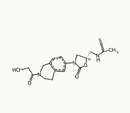 CC(=S)NC[C@H]1CN(c2ccc3c(c2)CCN(C(=O)CO)C3)C(=O)O1